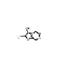 CC(C)(C)c1c(N)nc2cnncn12